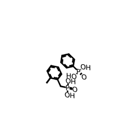 Cc1ccccc1CP(=O)(O)O.O=P(O)(O)c1ccccc1